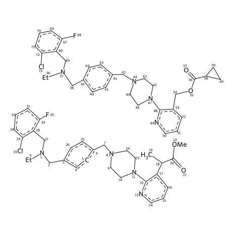 CCN(Cc1ccc(CN2CCN(c3ncccc3C(C)C(=O)OC)CC2)cc1)Cc1c(F)cccc1Cl.CCN(Cc1ccc(CN2CCN(c3ncccc3COC(=O)C3CC3)CC2)cc1)Cc1c(F)cccc1Cl